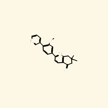 COc1cc(-c2ccc3c(n2)CC(C)(C)CC3=O)ccc1-c1cccnc1